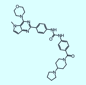 Cn1ccc2nc(-c3ccc(NC(=O)Nc4ccc(C(=O)N5CCC(N6CCCC6)CC5)cc4)cc3)nc(N3CCOCC3)c21